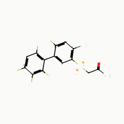 CC(=O)CS(=O)(=O)c1cc(-c2c(F)cc(F)c(F)c2F)c(F)cc1Cl